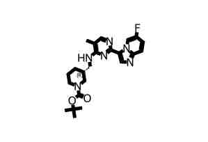 Cc1cnc(-c2cnc3ccc(F)cn23)nc1NC[C@H]1CCCN(C(=O)OC(C)(C)C)C1